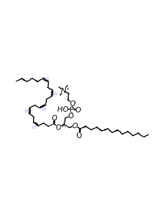 CCCCC/C=C\C/C=C\C/C=C\C/C=C\C/C=C\CCC(=O)O[C@H](COC(=O)CCCCCCCCCCCCC)COP(=O)(O)OCC[N+](C)(C)C